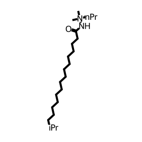 CCC[N+](C)(C)NC(=O)CCCCCCCCCCCCCCC(C)C